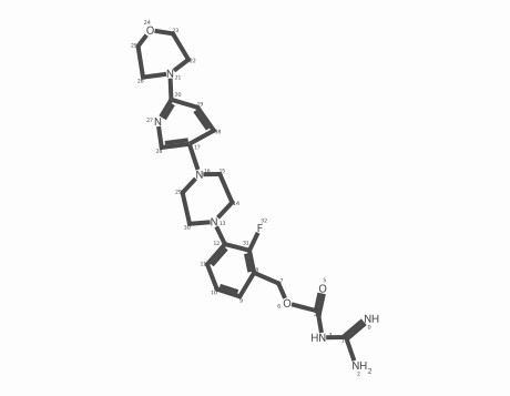 N=C(N)NC(=O)OCc1cccc(N2CCN(c3ccc(N4CCOCC4)nc3)CC2)c1F